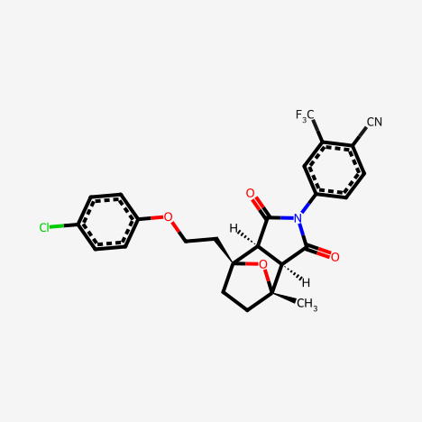 C[C@@]12CC[C@@](CCOc3ccc(Cl)cc3)(O1)[C@H]1C(=O)N(c3ccc(C#N)c(C(F)(F)F)c3)C(=O)[C@H]12